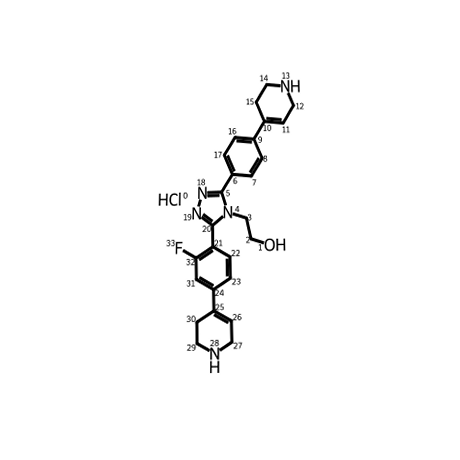 Cl.OCCn1c(-c2ccc(C3=CCNCC3)cc2)nnc1-c1ccc(C2=CCNCC2)cc1F